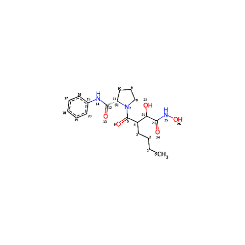 CCCCC(C(=O)N1CCC[C@H]1C(=O)Nc1ccccc1)C(O)C(=O)NO